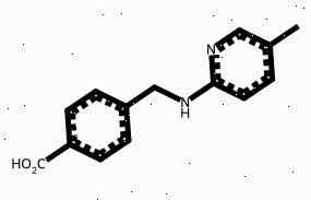 Cc1ccc(NCc2ccc(C(=O)O)cc2)nc1